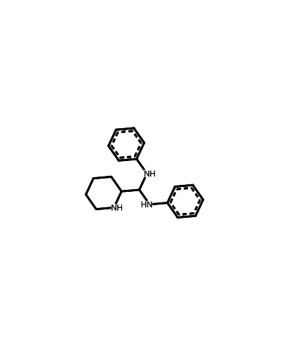 c1ccc(NC(Nc2ccccc2)C2CCCCN2)cc1